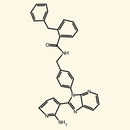 Nc1ncccc1-c1nc2cccnc2n1-c1ccc(CNC(=O)c2ccccc2Cc2ccccc2)cc1